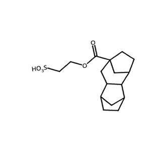 O=C(OCCS(=O)(=O)O)C12CCC(C1)C1C3CCC(C3)C1C2